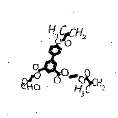 C=C(C)C(=O)OCCOC(=O)c1cc(C(=O)OCCOC=O)cc(-c2ccc(OC(=O)C(=C)C)cc2)c1